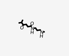 CNCCCNC(=O)CCC(=O)C(C)C